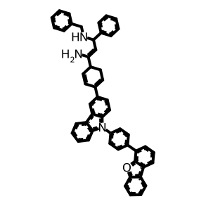 N/C(=C\C(NCc1ccccc1)c1ccccc1)C1C=CC(c2ccc3c(c2)c2ccccc2n3-c2ccc(-c3cccc4c3oc3ccccc34)cc2)=CC1